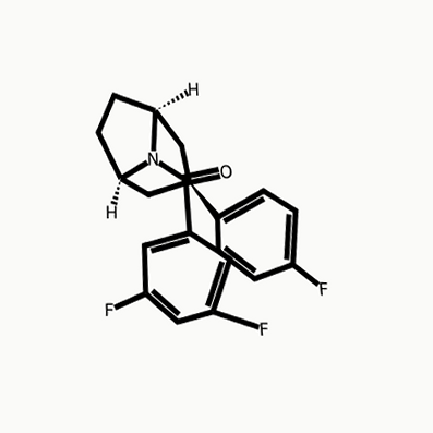 O=C(c1cc(F)cc(F)c1)N1[C@@H]2CC[C@H]1C[C@@H](c1ccc(F)cc1)C2